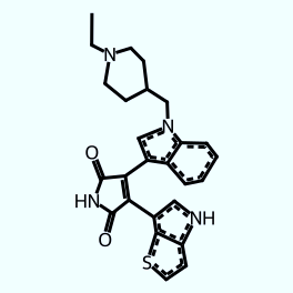 CCN1CCC(Cn2cc(C3=C(c4c[nH]c5ccsc45)C(=O)NC3=O)c3ccccc32)CC1